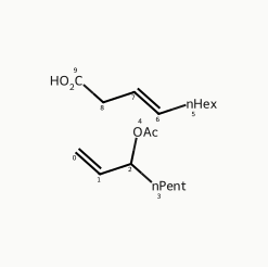 C=CC(CCCCC)OC(C)=O.CCCCCCC=CCC(=O)O